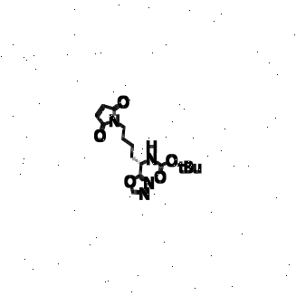 CC(C)(C)OC(=O)N[C@@H](CCCCN1C(=O)C=CC1=O)c1nnco1